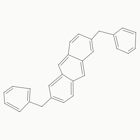 c1ccc(Cc2ccc3cc4cc(Cc5ccccc5)ccc4cc3c2)cc1